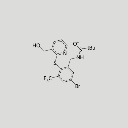 CC(C)(C)[S+]([O-])NCc1cc(Br)cc(C(F)(F)F)c1Sc1ncccc1CO